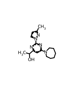 Cc1ccn(-c2nc(C(C)O)cc(N3CCCCCC3)n2)n1